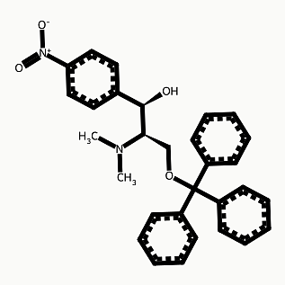 CN(C)[C@H](COC(c1ccccc1)(c1ccccc1)c1ccccc1)[C@H](O)c1ccc([N+](=O)[O-])cc1